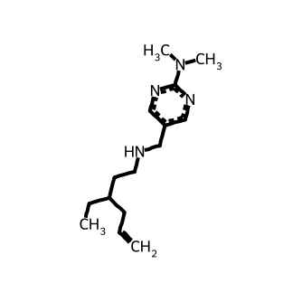 C=CCC(CC)CCNCc1cnc(N(C)C)nc1